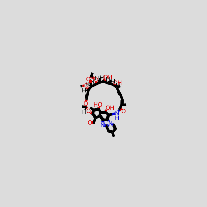 CO[C@H]1/C=C/O[C@@H](C)Oc2c(C)c(O)c3c(O)c(c4c(nc5cc(C)ccn54)c3c2C=O)NC(=O)/C(C)=C\C=C\[C@H](C)[C@H](O)[C@@H](C)[C@@H](O)[C@@H](C)[C@H](OC(C)=O)[C@@H]1C